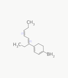 BC1=CC=C(/C(=C/C=C\CC)CC)CC1